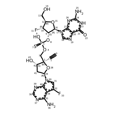 C#C[C@]1(COP(O)(=S)O[C@@H]2[C@H](F)[C@@H](CO)O[C@H]2n2cnc3c(=O)[nH]c(N)nc32)O[C@@H](n2cc(F)c3c(N)ncnc32)C[C@@H]1O